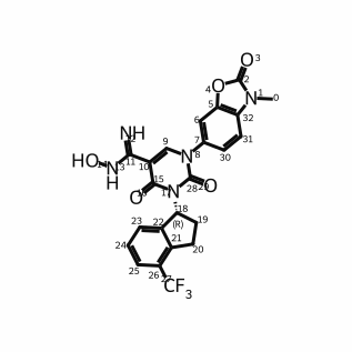 Cn1c(=O)oc2cc(-n3cc(C(=N)NO)c(=O)n([C@@H]4CCc5c4cccc5C(F)(F)F)c3=O)ccc21